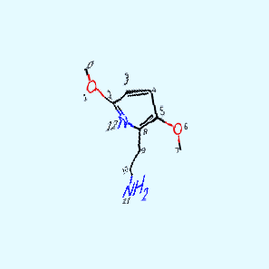 COc1ccc(OC)c(CCN)n1